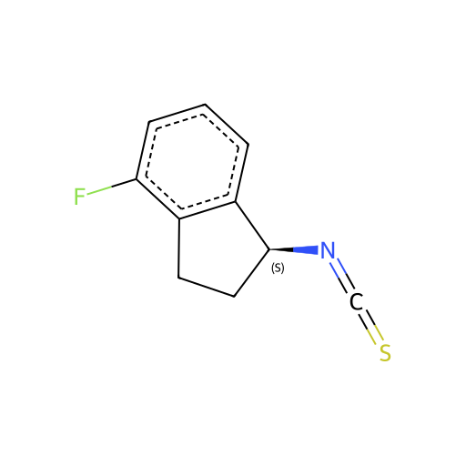 Fc1cccc2c1CC[C@@H]2N=C=S